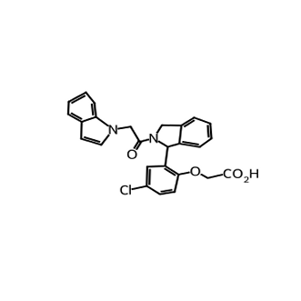 O=C(O)COc1ccc(Cl)cc1C1c2ccccc2CN1C(=O)Cn1ccc2ccccc21